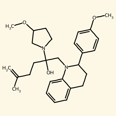 C=C(C)CCC(O)(CN1c2ccccc2CCC1c1ccc(OC)cc1)N1CCC(OC)C1